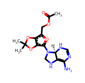 CC(=O)OCc1oc(N2CNC3=C(N)N=CN[C@@H]32)c2c1OC(C)(C)O2